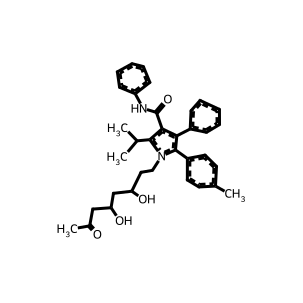 CC(=O)CC(O)CC(O)CCn1c(-c2ccc(C)cc2)c(-c2ccccc2)c(C(=O)Nc2ccccc2)c1C(C)C